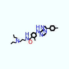 CCCN(CCC)CCCNC(=O)c1ccc(Nc2nccn3c(-c4ccc(C)cc4)cnc23)cc1C